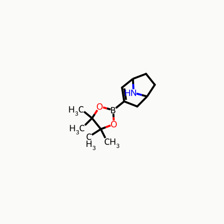 CC1(C)OB(C2=CC3CCC(C2)N3)OC1(C)C